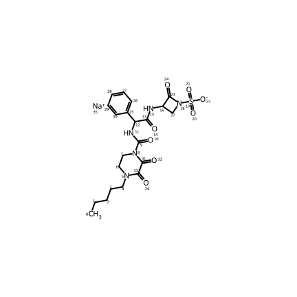 CCCCCN1CCN(C(=O)NC(C(=O)NC2CN(S(=O)(=O)[O-])C2=O)c2ccccc2)C(=O)C1=O.[Na+]